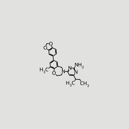 CCC(C)c1cc(N2CCOc3c(C)cc(-c4ccc5c(c4)OCO5)cc3C2)nc(N)n1